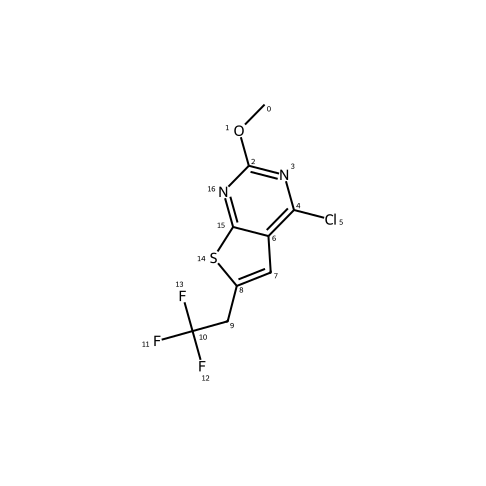 COc1nc(Cl)c2cc(CC(F)(F)F)sc2n1